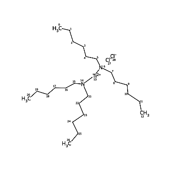 CCCCCC[N](CCCCCC)[Ti+2][N](CCCCCC)CCCCCC.[Cl-].[Cl-]